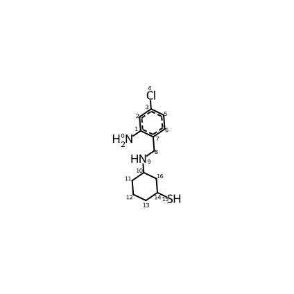 Nc1cc(Cl)ccc1CNC1CCCC(S)C1